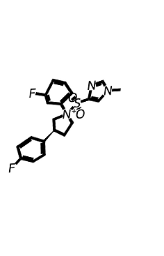 Cn1cnc(S(=O)(=O)[N+]2(c3cccc(F)c3)CC[C@@H](c3ccc(F)cc3)C2)c1